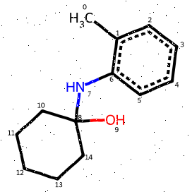 Cc1ccccc1NC1(O)CCCCC1